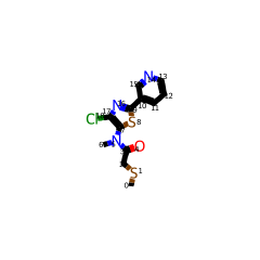 CSCC(=O)N(C)c1sc(-c2cccnc2)nc1Cl